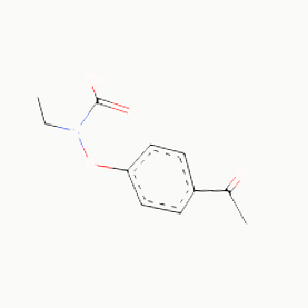 CCN(Oc1ccc(C(C)=O)cc1)C(=O)O